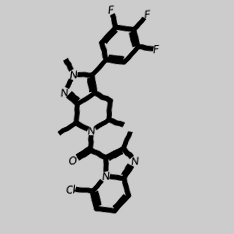 Cc1nc2cccc(Cl)n2c1C(=O)N1C(C)Cc2c(nn(C)c2-c2cc(F)c(F)c(F)c2)C1C